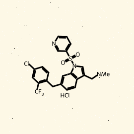 CNCc1cn(S(=O)(=O)c2cccnc2)c2cc(Cc3ccc(Cl)cc3C(F)(F)F)ccc12.Cl